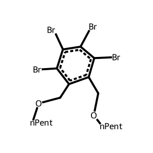 CCCCCOCc1c(Br)c(Br)c(Br)c(Br)c1COCCCCC